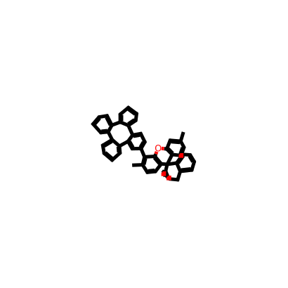 Cc1ccc2c(c1)Oc1c(ccc(C)c1-c1ccc3c(c1)-c1ccccc1-c1ccccc1-c1ccccc1-3)C21c2ccccc2Cc2ccccc21